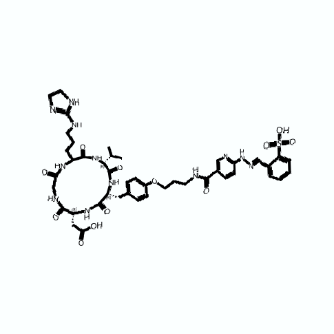 CC(C)[C@H]1NC(=O)C(CCCNC2=NCCN2)NC(=O)CNC(=O)[C@@H](CC(=O)O)NC(=O)[C@@H](Cc2ccc(OCCCNC(=O)c3ccc(NN=Cc4ccccc4S(=O)(=O)O)nc3)cc2)NC1=O